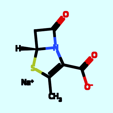 CC1=C(C(=O)[O-])N2C(=O)C[C@H]2S1.[Na+]